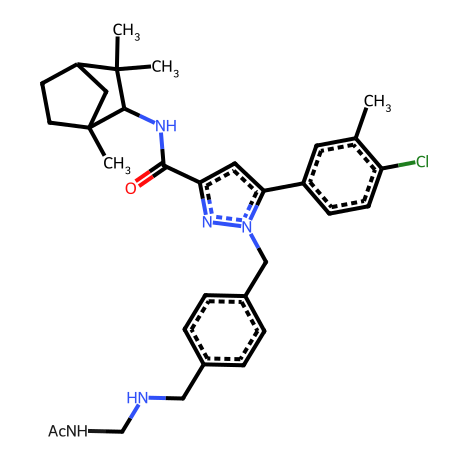 CC(=O)NCNCc1ccc(Cn2nc(C(=O)NC3C4(C)CCC(C4)C3(C)C)cc2-c2ccc(Cl)c(C)c2)cc1